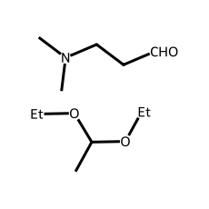 CCOC(C)OCC.CN(C)CCC=O